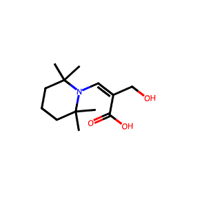 CC1(C)CCCC(C)(C)N1C=C(CO)C(=O)O